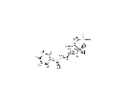 CC1(C)OC2O[C@H](COC(=O)c3ccccc3)C[C@H]2O1